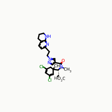 CN(C(=O)c1cnn(CCc2ccc3c(n2)NCCC3)c1)[C@H](CC(=O)O)C1(C)C=C(Cl)C=C(Cl)C1